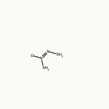 [O-][N+]([SiH3])=N[SiH3]